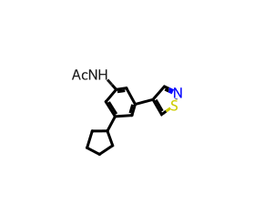 CC(=O)Nc1cc(-c2cnsc2)cc(C2CCCC2)c1